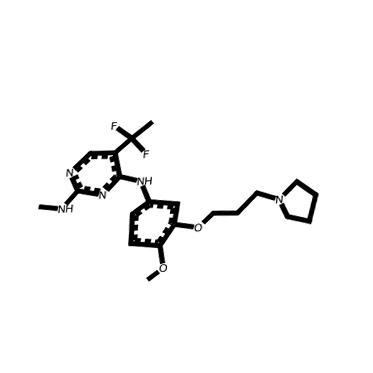 CNc1ncc(C(C)(F)F)c(Nc2ccc(OC)c(OCCCN3CCCC3)c2)n1